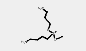 CO[Si](C)(CCCCN)OCCCN